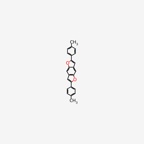 Cc1ccc(-c2cc3cc4oc(-c5ccc(C)cc5)cc4cc3o2)cc1